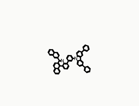 c1ccc(-c2ccc3c(c2)c2cc(-c4ccccc4)ccc2n3-c2cccc(-c3cccc4c3nc(-c3ccc5ccccc5c3)c3ccc5ccccc5c34)c2)cc1